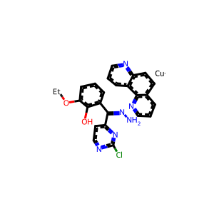 CCOc1cccc(C(=NN)c2ccnc(Cl)n2)c1O.[Cu].c1cnc2c(c1)ccc1ncccc12